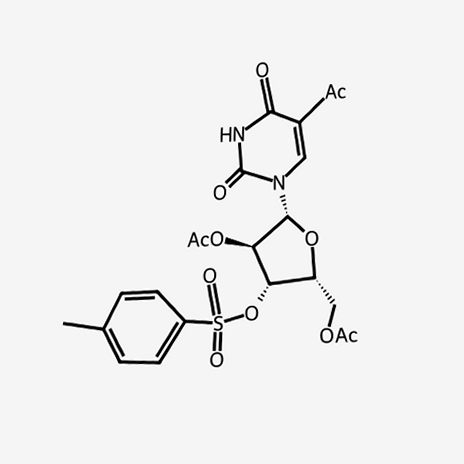 CC(=O)OC[C@H]1O[C@@H](n2cc(C(C)=O)c(=O)[nH]c2=O)[C@H](OC(C)=O)[C@H]1OS(=O)(=O)c1ccc(C)cc1